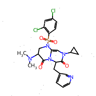 CN(C)C1CN(S(=O)(=O)c2ccc(Cl)cc2Cl)C2=CN(C3CC3)C(=O)C(Cc3cccnc3)N2C1=O